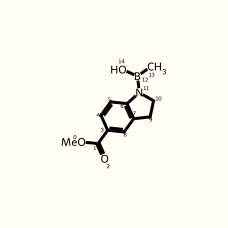 COC(=O)c1ccc2c(c1)CCN2B(C)O